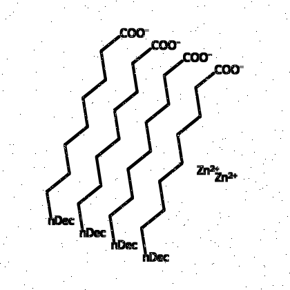 CCCCCCCCCCCCCCCCCC(=O)[O-].CCCCCCCCCCCCCCCCCC(=O)[O-].CCCCCCCCCCCCCCCCCC(=O)[O-].CCCCCCCCCCCCCCCCCC(=O)[O-].[Zn+2].[Zn+2]